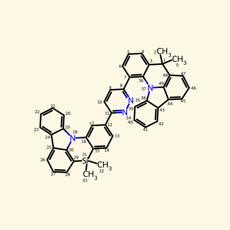 CC1(C)c2cccc(-c3ccc(-c4ccc5c(c4)-n4c6ccccc6c6cccc(c64)[Si]5(C)C)nn3)c2-n2c3ccccc3c3cccc1c32